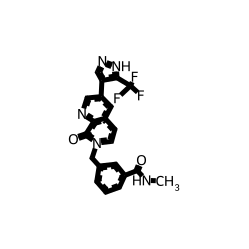 CNC(=O)c1cccc(Cn2ccc3cc(-c4cn[nH]c4C(F)(F)F)cnc3c2=O)c1